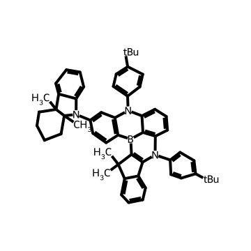 CC(C)(C)c1ccc(N2C3=C(B4c5ccc(N6c7ccccc7C7(C)CCCCC67C)cc5N(c5ccc(C(C)(C)C)cc5)c5cccc2c54)C(C)(C)c2ccccc23)cc1